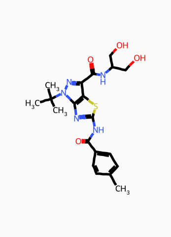 Cc1ccc(C(=O)Nc2nc3c(s2)c(C(=O)NC(CO)CO)nn3C(C)(C)C)cc1